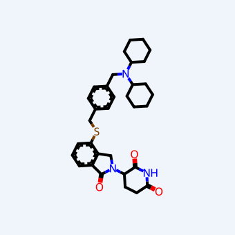 O=C1CCC(N2Cc3c(SCc4ccc(CN(C5CCCCC5)C5CCCCC5)cc4)cccc3C2=O)C(=O)N1